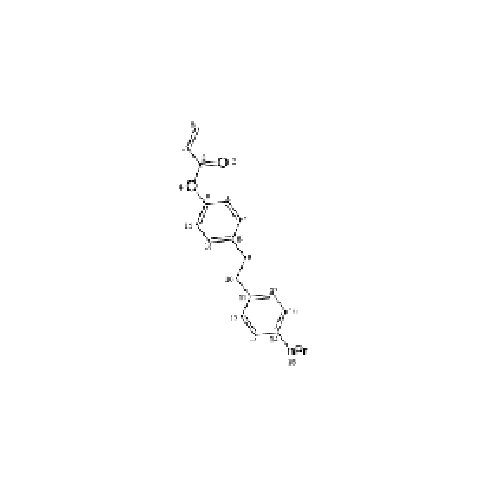 C=CC(=O)Oc1ccc(CCc2ccc(CCC)cc2)cc1